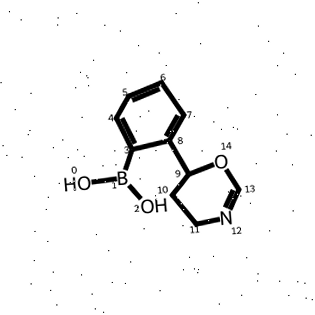 OB(O)c1ccccc1C1CCN=CO1